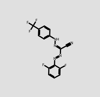 N#CC(N=Nc1c(F)cccc1F)=NNc1ccc(C(F)(F)F)cc1